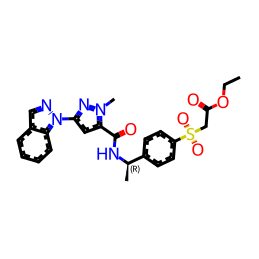 CCOC(=O)CS(=O)(=O)c1ccc([C@@H](C)NC(=O)c2cc(-n3ncc4ccccc43)nn2C)cc1